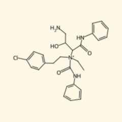 CC[N+](CCc1ccc(Cl)cc1)(C(=O)Nc1ccccc1)C(C(=O)Nc1ccccc1)C(O)CN